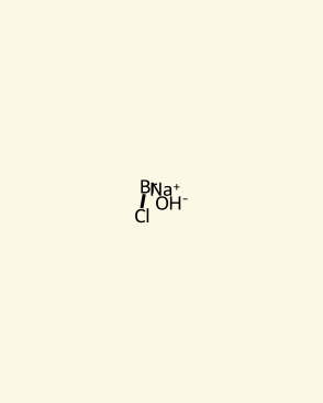 ClBr.[Na+].[OH-]